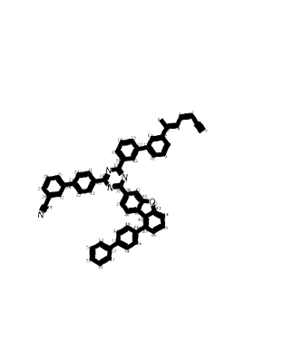 C#C/C=C\C=C(/C)c1cccc(-c2cccc(-c3nc(-c4ccc(-c5cccc(C#N)c5)cc4)nc(-c4ccc5c(c4)oc4cccc(-c6ccc(-c7ccccc7)cc6)c45)n3)c2)c1